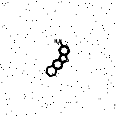 Nc1ccc2oc3cc4c(cc3c2c1)CCCC4